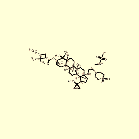 CC(C)S(=O)(=O)NC[C@@H](CN[C@]12CC[C@@H](C3(C)CC3)[C@@H]1[C@H]1CC[C@@H]3[C@@]4(C)CC[C@H](OC(=O)[C@H]5C[C@@H](C(=O)O)C5(C)C)C(C)(C)[C@@H]4CC[C@@]3(C)[C@]1(C)CC2)N1CCS(=O)(=O)CC1